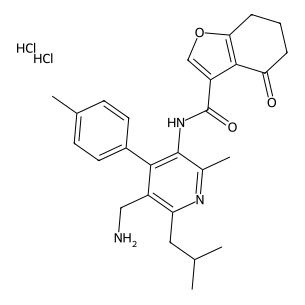 Cc1ccc(-c2c(CN)c(CC(C)C)nc(C)c2NC(=O)c2coc3c2C(=O)CCC3)cc1.Cl.Cl